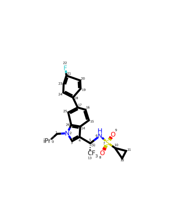 CC(C)Cn1cc([C@H](NS(=O)(=O)C2CC2)C(F)(F)F)c2ccc(-c3ccc(F)cc3)cc21